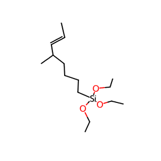 CC=CC(C)CCCC[Si](OCC)(OCC)OCC